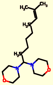 CC(C)=C[SiH2]CCC[SiH2]C(N1CCOCC1)N1CCOCC1